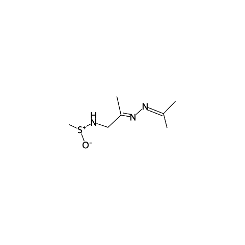 CC(C)=N/N=C(\C)CN[S+](C)[O-]